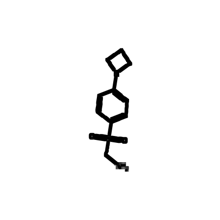 NCS(=O)(=O)c1ccc(N2CCC2)cc1